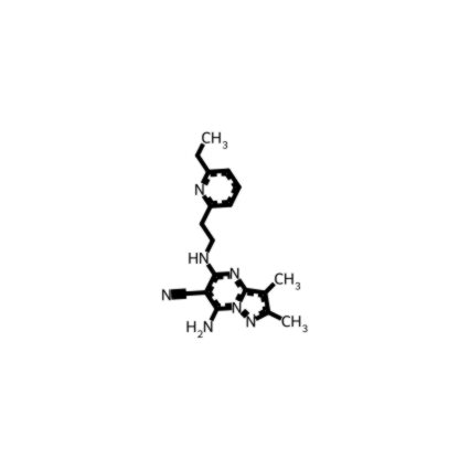 CCc1cccc(CCNc2nc3c(C)c(C)nn3c(N)c2C#N)n1